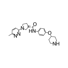 Cc1ccc(N2CC[C@H](C(=O)Nc3ccc(OC4CCNCC4)cc3)C2)nn1